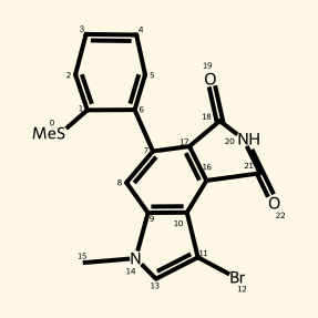 CSc1ccccc1-c1cc2c(c(Br)cn2C)c2c1C(=O)NC2=O